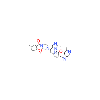 COc1ccc(C)cc1C(=O)N1CCN(C(Cc2ccc(C#N)c(Oc3cccnc3C)c2)c2cnc(C)[nH]2)CC1